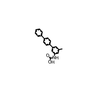 Cc1cc(NC(=O)O)cc(-c2ccc(-c3ccccc3)cc2)c1